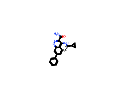 C[C@@H](Nc1c(C(N)=O)nnc2cc(-c3ccccc3)ccc12)C1CC1